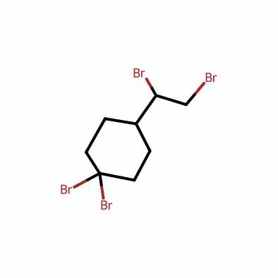 BrCC(Br)C1CCC(Br)(Br)CC1